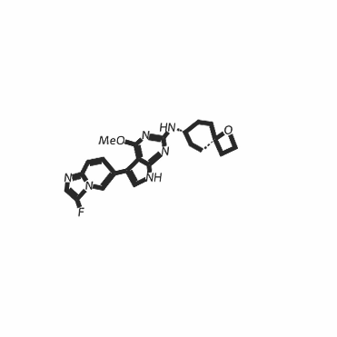 COc1nc(N[C@H]2CC[C@]3(CCO3)CC2)nc2[nH]cc(-c3ccc4ncc(F)n4c3)c12